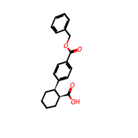 O=C(OCc1ccccc1)c1ccc([C@@H]2CCCC[C@@H]2C(=O)O)cc1